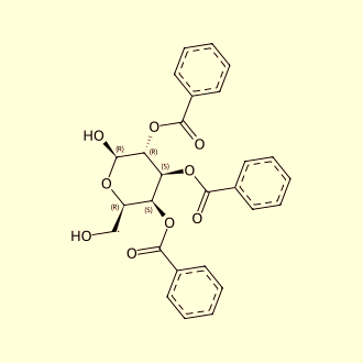 O=C(O[C@@H]1[C@@H](OC(=O)c2ccccc2)[C@H](O)O[C@H]([CH]O)[C@@H]1OC(=O)c1ccccc1)c1ccccc1